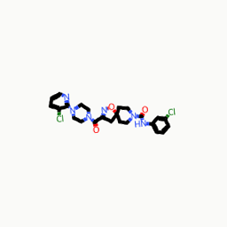 O=C(Nc1cccc(Cl)c1)N1CCC2(CC1)CC(C(=O)N1CCN(c3ncccc3Cl)CC1)=NO2